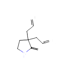 C=CCC1(CC=C)CCNC1=C